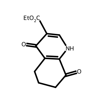 CCOC(=O)c1c[nH]c2c(c1=O)CCCC2=O